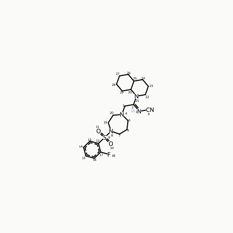 N#C/N=C(/CN1CCCN(S(=O)(=O)c2ccccc2F)CC1)N1CCCC2CCCCC21